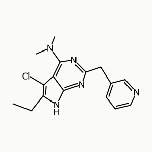 CCc1[nH]c2nc(Cc3cccnc3)nc(N(C)C)c2c1Cl